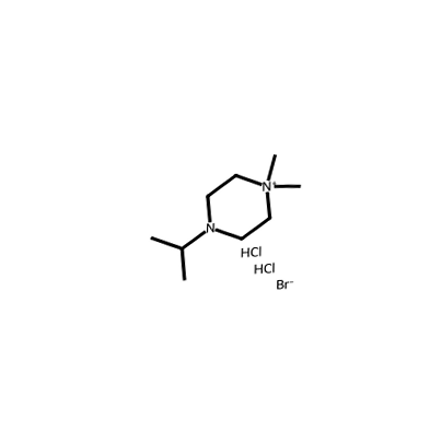 CC(C)N1CC[N+](C)(C)CC1.Cl.Cl.[Br-]